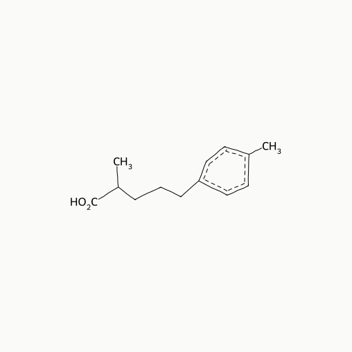 Cc1ccc(CCCC(C)C(=O)O)cc1